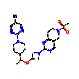 CCc1cnc(N2CCC(C(C)OC3CN(c4ncc5c(n4)CCN(S(C)(=O)=O)C5)C3)CC2)nc1